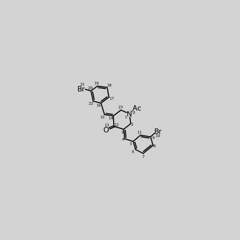 CC(=O)N1C/C(=C\c2cccc(Br)c2)C(=O)/C(=C/c2cccc(Br)c2)C1